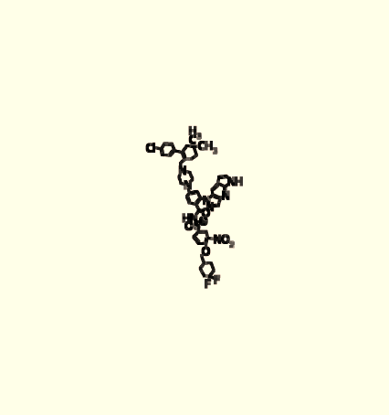 CC1(C)CCC(CN2CCN(c3ccc(C(=O)NS(=O)(=O)c4ccc(OCC5CCC(F)(F)CC5)c([N+](=O)[O-])c4)c(-n4ncc5nc6[nH]ccc6cc54)c3)CC2)=C(c2ccc(Cl)cc2)C1